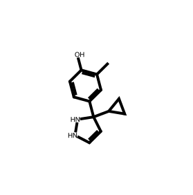 Cc1cc(C2(C3CC3)C=CNN2)ccc1O